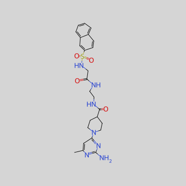 Cc1cc(N2CCC(C(=O)NCCNC(=O)CNS(=O)(=O)c3ccc4ccccc4c3)CC2)nc(N)n1